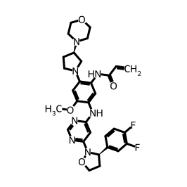 C=CC(=O)Nc1cc(Nc2cc(N3OCC[C@@H]3c3ccc(F)c(F)c3)ncn2)c(OC)cc1N1CC[C@@H](N2CCOCC2)C1